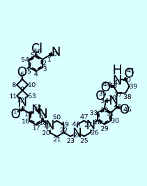 N#Cc1ccc(OC2CC3(C2)CN(C(=O)c2ccc(N4CCC(CN5CCN(c6ccc7c(c6)C(=O)N(C6CCC(=O)NC6=O)C7=O)CC5)CC4)nn2)C3)cc1Cl